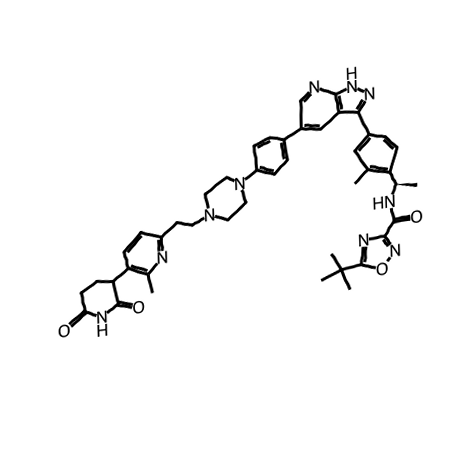 Cc1cc(-c2n[nH]c3ncc(-c4ccc(N5CCN(CCc6ccc(C7CCC(=O)NC7=O)c(C)n6)CC5)cc4)cc23)ccc1[C@@H](C)NC(=O)c1noc(C(C)(C)C)n1